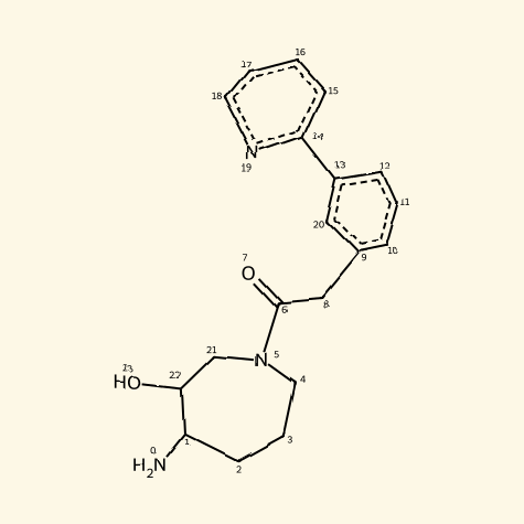 NC1CCCN(C(=O)Cc2cccc(-c3ccccn3)c2)CC1O